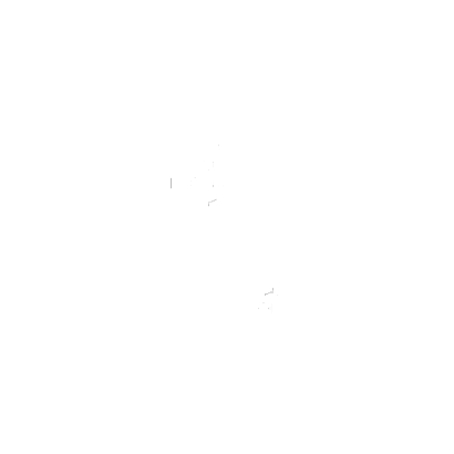 CCOC(C)OC(=O)CCCCCCCCC(=O)O